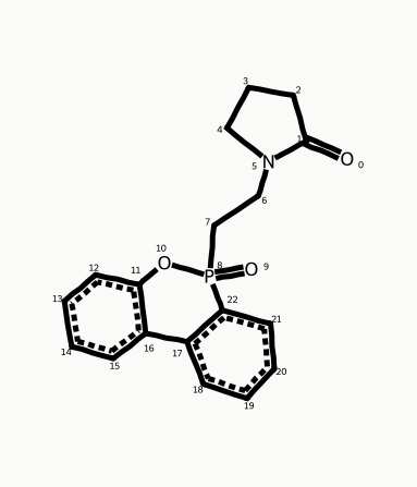 O=C1CCCN1CCP1(=O)Oc2ccccc2-c2ccccc21